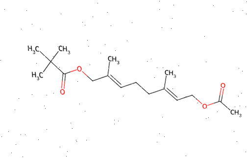 CC(=O)OC/C=C(\C)CC/C=C(\C)COC(=O)C(C)(C)C